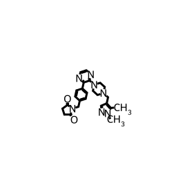 Cc1c(CN2CCN(c3nccnc3-c3ccc(CN4C(=O)CCC4=O)cc3)CC2)cnn1C